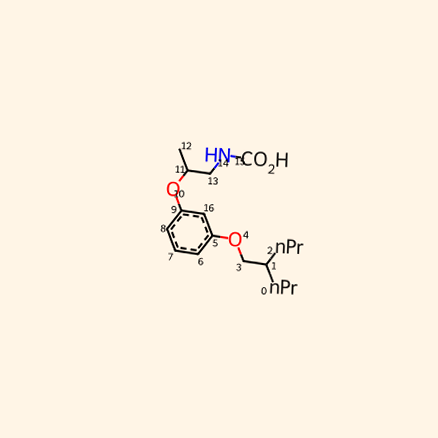 CCCC(CCC)COc1cccc(OC(C)CNC(=O)O)c1